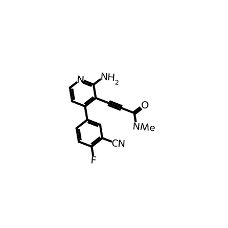 CNC(=O)C#Cc1c(-c2ccc(F)c(C#N)c2)ccnc1N